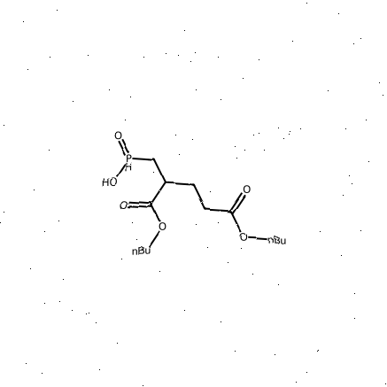 CCCCOC(=O)CCC(C[PH](=O)O)C(=O)OCCCC